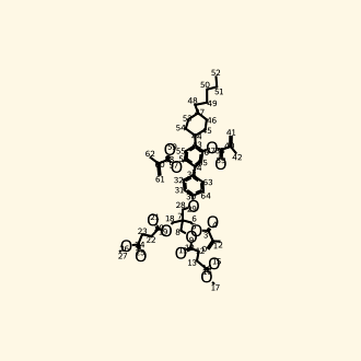 C=C(C)C(=O)OCC(COC(=O)CCC(=O)OC)(COC(=O)CCC(=O)OC)COc1ccc(-c2cc(OC(=O)C(=C)C)c(C3CCC(CCCCC)CC3)cc2OC(=O)C(=C)C)cc1